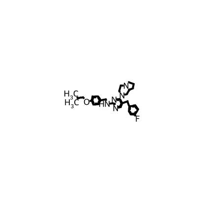 CC(C)COc1ccc(CNc2ncc(Cc3ccc(F)cc3)c(N3CCN4CCCC4C3)n2)cc1